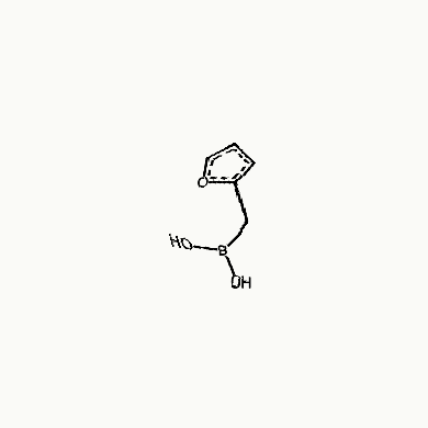 OB(O)Cc1ccco1